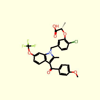 COc1ccc(C(=O)c2c(C)n(Cc3ccc(Cl)c(O[C@@H](C)C(=O)O)c3)c3cc(OC(F)(F)F)ccc23)cc1